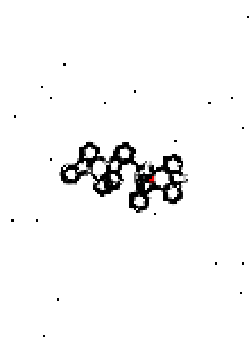 c1ccc(-c2nc(-c3cccc4sc5cccc(-c6ccccc6)c5c34)nc(-c3cccc4c3c3ccccc3n4-c3cccc4c5ccccc5n(-c5ccccc5)c34)n2)cc1